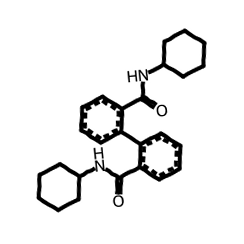 O=C(NC1CCCCC1)c1ccccc1-c1ccccc1C(=O)NC1CCCCC1